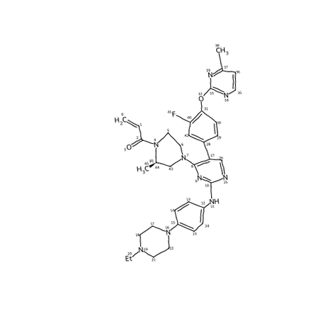 C=CC(=O)N1CCN(c2nc(Nc3ccc(N4CCN(CC)CC4)cc3)ncc2-c2ccc(Oc3nccc(C)n3)c(F)c2)C[C@H]1C